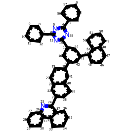 c1ccc(-c2nc(-c3ccccc3)nc(-c3cc(-c4ccc5cc(-c6nc7ccccc7c7ccccc67)ccc5c4)cc(-c4cccc5ccccc45)c3)n2)cc1